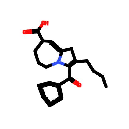 CCCCC1=C(C(=O)c2ccccc2)N2CCCC(C(=O)O)C=C2C1